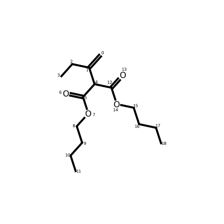 C=C(CC)C(C(=O)OCCCC)C(=O)OCCCC